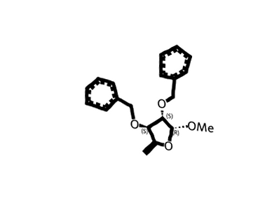 C=C1O[C@@H](OC)[C@@H](OCc2ccccc2)[C@@H]1OCc1ccccc1